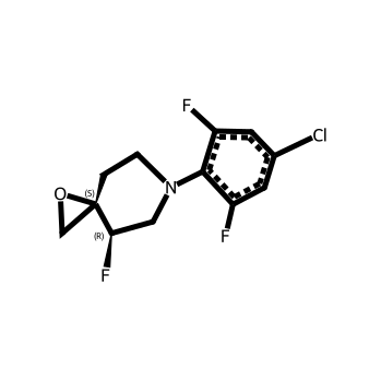 Fc1cc(Cl)cc(F)c1N1CC[C@]2(CO2)[C@H](F)C1